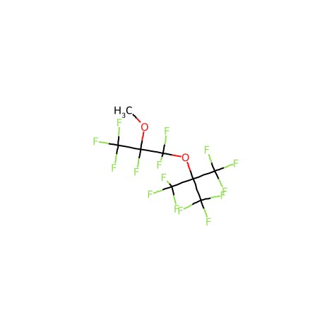 COC(F)(C(F)(F)F)C(F)(F)OC(C(F)(F)F)(C(F)(F)F)C(F)(F)F